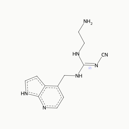 N#C/N=C(\NCCN)NCc1ccnc2[nH]ccc12